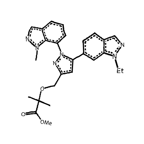 CCn1ncc2ccc(-c3cc(COC(C)(C)C(=O)OC)nn3-c3cccc4cnn(C)c34)cc21